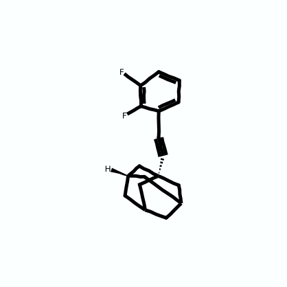 Fc1cccc(C#C[C@]23CC4CC(C[C@H](C4)C2)C3)c1F